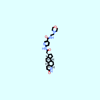 C[C@]12C=CC(=O)N[C@@H]1CC[C@@H]1[C@@H]2CC[C@]2(C)[C@@H](CC(=O)Nc3ccc(C(=O)NCCN4CCOCC4)cn3)CC[C@@H]12